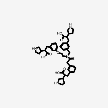 O=C(O)C(Cc1cccc(CC(=S)N(CCOc2cccc(CC(C(=O)O)C3CCNC3)c2)Cc2cccc(CC(C(=O)O)C3CCNC3)c2)c1)C1CCNC1